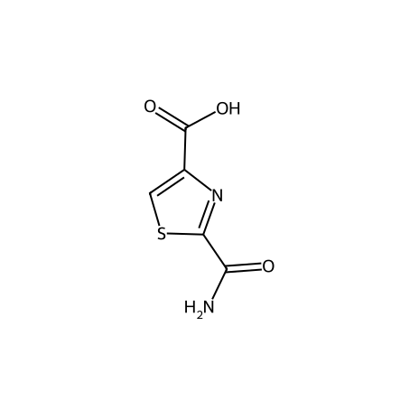 NC(=O)c1nc(C(=O)O)cs1